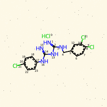 Cl.N=C(NCc1ccc(Cl)c(Cl)c1)NC(=N)Nc1ccc(Cl)cc1